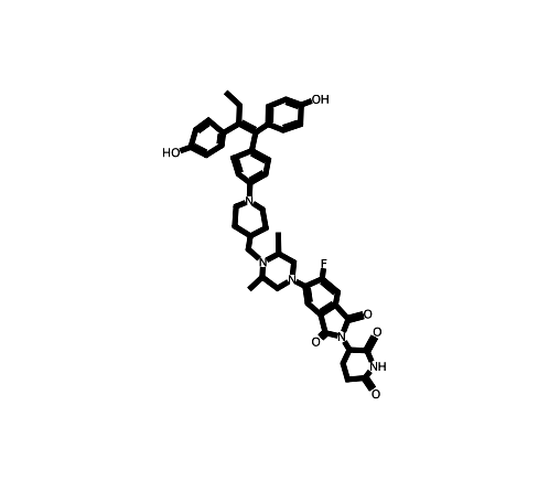 CCC(=C(c1ccc(O)cc1)c1ccc(N2CCC(CN3C(C)CN(c4cc5c(cc4F)C(=O)N(C4CCC(=O)NC4=O)C5=O)CC3C)CC2)cc1)c1ccc(O)cc1